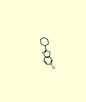 [O-][n+]1ccc2nc(C3CCCCC3)sc2c1